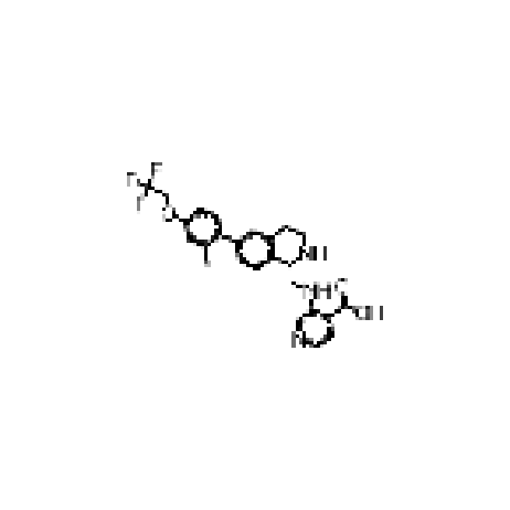 Cc1cc(OCC(F)(F)F)ccc1-c1ccc2c(c1)CCN[C@@H]2CNc1cnccc1C(=O)O